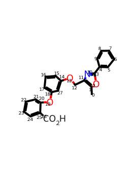 Cc1oc(-c2ccccc2)nc1COc1cccc(Oc2ccccc2C(=O)O)c1